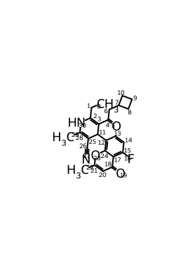 CCC1=C(C(=O)CC2CCC2)C(c2ccc(F)c3c(=O)cc(C)oc23)C(C#N)=C(C)N1